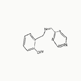 COc1ccccc1C/N=C\c1ncncn1